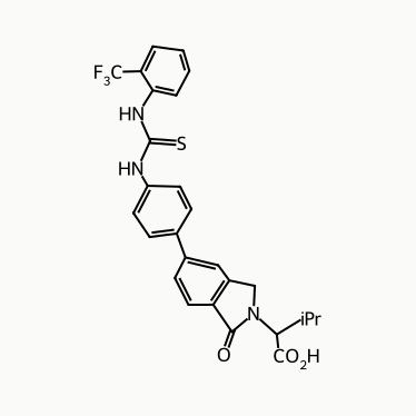 CC(C)C(C(=O)O)N1Cc2cc(-c3ccc(NC(=S)Nc4ccccc4C(F)(F)F)cc3)ccc2C1=O